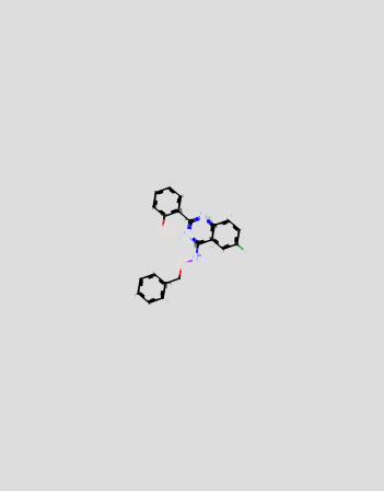 Oc1ccccc1-c1nc(NOCc2ccccc2)c2cc(Cl)ccc2n1